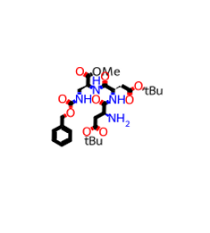 COC(=O)[C@H](CNC(=O)OCc1ccccc1)NC(=O)[C@H](CC(=O)OC(C)(C)C)NC(=O)[C@@H](N)CC(=O)OC(C)(C)C